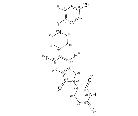 Cc1cc(Br)cnc1CN1CCC(c2c(F)cc3c(c2F)CN(C2CCC(=O)NC2=O)C3=O)CC1